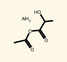 CC(=O)OC(=O)C(C)O.[AlH3]